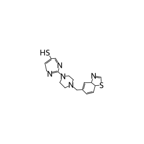 SC1=CCN=C(N2CCN(CC3=CC4N=CSC4C=C3)CC2)N=C1